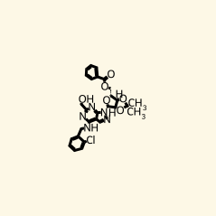 CC1(C)O[C@@H]2[C@H](O1)[C@@H](COC(=O)c1ccccc1)O[C@H]2n1ncc2c(NCc3ccccc3Cl)nc(CO)nc21